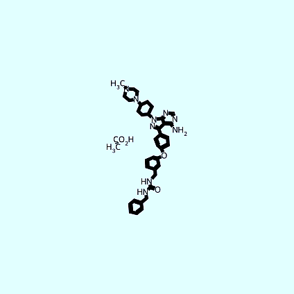 CC(=O)O.CN1CCN(C2CCC(n3nc(-c4ccc(Oc5cccc(CNC(=O)NCc6ccccc6)c5)cc4)c4c(N)ncnc43)CC2)CC1